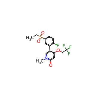 CCS(=O)(=O)c1ccc(F)c(-c2cn(C)c(=O)cc2OCC(F)(F)F)c1